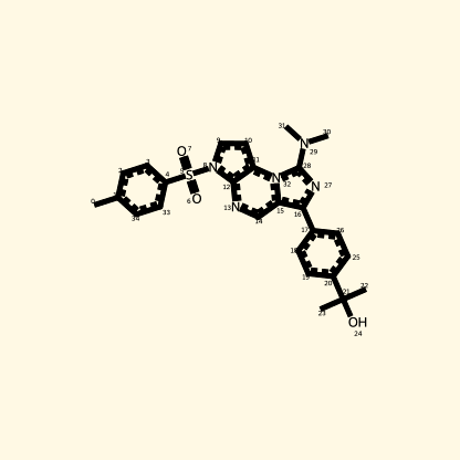 Cc1ccc(S(=O)(=O)n2ccc3c2ncc2c(-c4ccc(C(C)(C)O)cc4)nc(N(C)C)n23)cc1